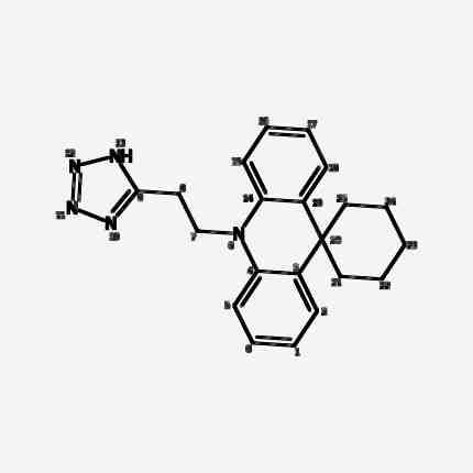 c1ccc2c(c1)N(CCc1nnn[nH]1)c1ccccc1C21CCCCC1